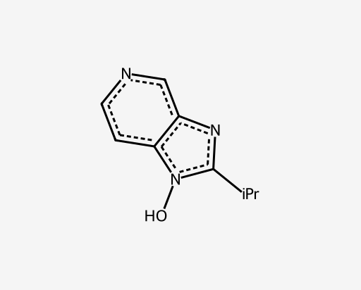 CC(C)c1nc2cnccc2n1O